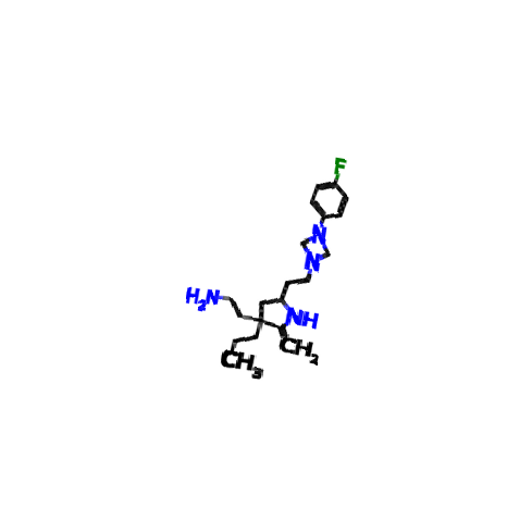 C=C1NC(CCN2CN(c3ccc(F)cc3)C2)CC1(CCC)CCN